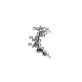 Cc1csc2c(OCc3ccccc3)cc3c(c12)[C@@H](CCl)CN3C(=O)Nc1cc(C(=O)Nc2cc(C(=O)Nc3cc(C(=O)NCCC(N)=O)n(C)c3)n(C)c2)n(C)c1